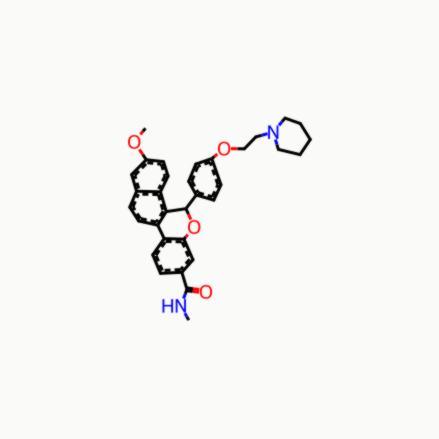 CNC(=O)c1ccc2c(c1)OC(c1ccc(OCCN3CCCCC3)cc1)c1c-2ccc2cc(OC)ccc12